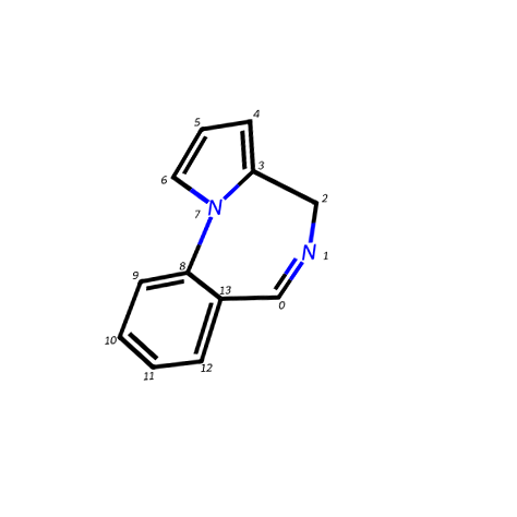 C1=NCc2cccn2-c2ccccc21